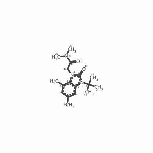 Cc1cc(C)c2c(c1)n(C(C)(C)C)c(=O)n2CC(=O)N(C)C